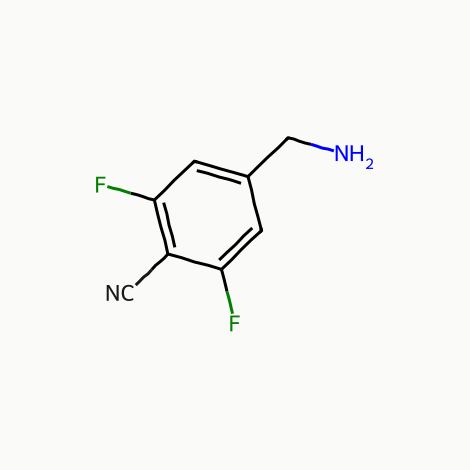 N#Cc1c(F)cc(CN)cc1F